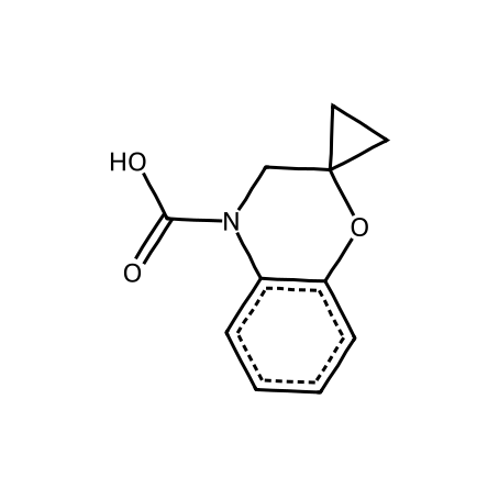 O=C(O)N1CC2(CC2)Oc2ccccc21